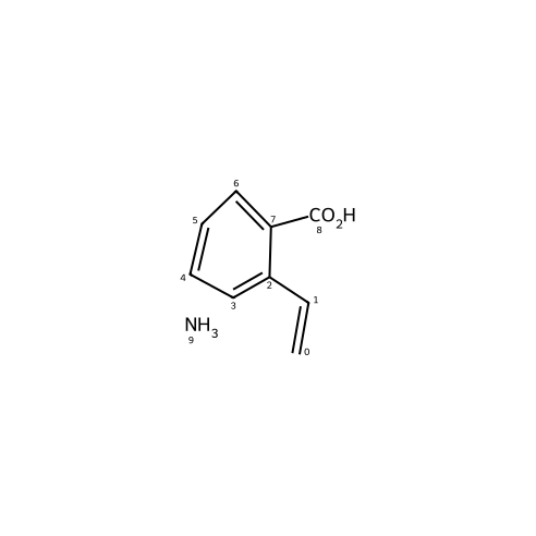 C=Cc1ccccc1C(=O)O.N